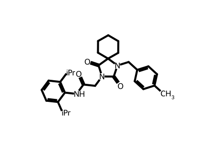 Cc1ccc(CN2C(=O)N(CC(=O)Nc3c(C(C)C)cccc3C(C)C)C(=O)C23CCCCC3)cc1